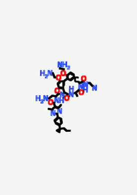 CCCC1(c2ccc(-c3nc(C)c(C(=O)NC(CCN)C(=O)N(C)C4C(=O)NC(C)C(=O)NC(C(=O)NCC#N)Cc5ccc(OCCN)c(c5)-c5cc4ccc5OCCN)c(C)n3)cc2)CC1